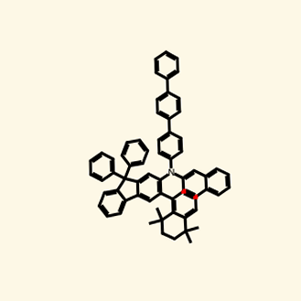 CC1(C)CCC(C)(C)c2c(-c3cc4c(cc3N(c3ccc(-c5ccc(-c6ccccc6)cc5)cc3)c3ccc5ccccc5c3)C(c3ccccc3)(c3ccccc3)c3ccccc3-4)cccc21